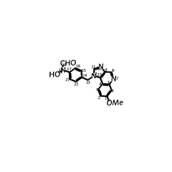 COc1ccc2c(c1)ncc1ncn(Cc3ccc(N(O)C=O)cc3)c12